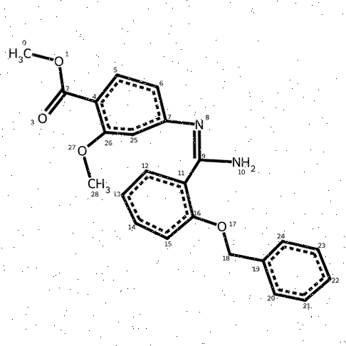 COC(=O)c1ccc(/N=C(/N)c2ccccc2OCc2ccccc2)cc1OC